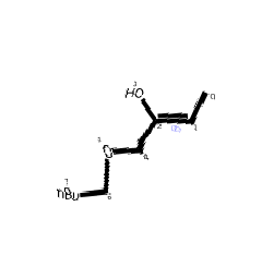 [CH2]/C=C(\O)COCCCCC